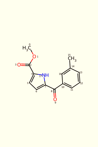 COC(=O)c1ccc(C(=O)c2cccc(C)c2)[nH]1